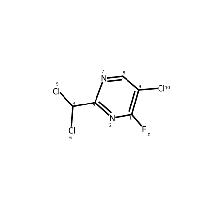 Fc1nc(C(Cl)Cl)n[c]c1Cl